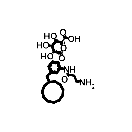 NCCC(=O)Nc1cc(CC2CCCCCCCCCC2)ccc1O[C@@H]1O[C@H](C(=O)O)[C@@H](O)[C@H](O)[C@H]1O